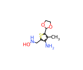 Cc1c(C2OCCO2)sc(CNO)c1N